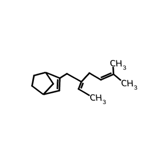 CC=C(CC=C(C)C)CC1=CC2CCC1C2